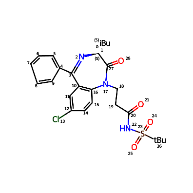 CC[C@H](C)[C@@H]1N=C(c2ccccc2)c2cc(Cl)ccc2N(CCC(=O)NS(=O)(=O)C(C)(C)C)C1=O